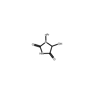 CCCN1C(=O)NC(=O)C1O